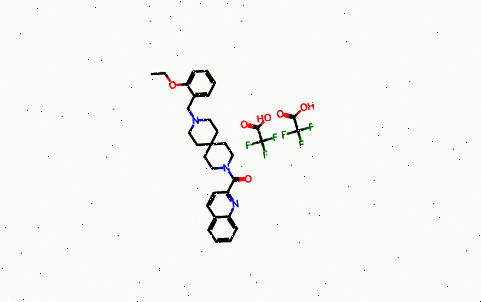 CCOc1ccccc1CN1CCC2(CC1)CCN(C(=O)c1ccc3ccccc3n1)CC2.O=C(O)C(F)(F)F.O=C(O)C(F)(F)F